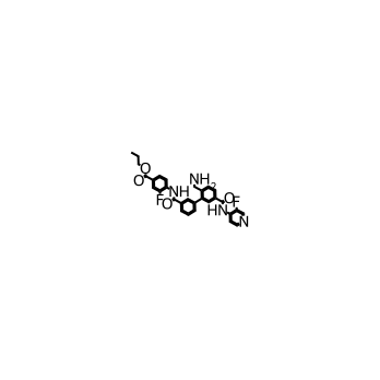 CCCOC(=O)c1ccc(NC(=O)c2cccc(-c3cc(C(=O)Nc4ccncc4F)ccc3CN)c2)c(F)c1